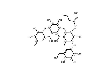 CCCC(=O)[O-].C[C@H]1O[C@H](O[C@H]2[C@H](O)[C@@H](O)[C@@H](O[C@H]3[C@H](O)[C@@H](O)[C@H](O)O[C@@H]3CO)O[C@@H]2CO)[C@H](O)[C@@H](O)[C@@H]1N[C@H]1C=C(CO)[C@@H](O)[C@H](O)[C@H]1O.[Na+]